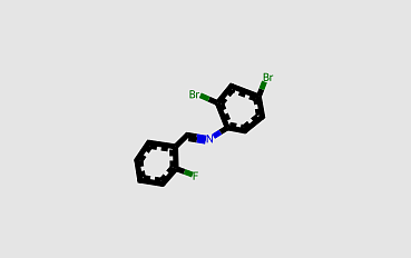 Fc1ccccc1C=Nc1ccc(Br)cc1Br